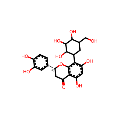 O=C1C[C@H](c2ccc(O)c(O)c2)Oc2c1c(O)cc(O)c2C1CC(CO)C(O)C(O)C1O